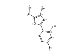 CCOc1oc(-c2ccc(Cl)cc2F)nc1C(C)C